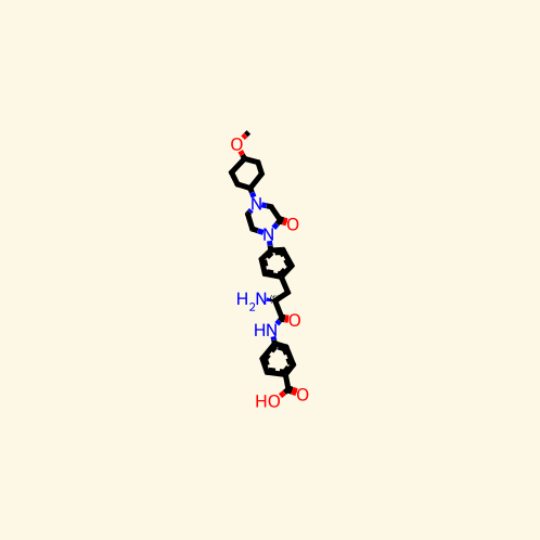 COC1CCC(N2CCN(c3ccc(C[C@H](N)C(=O)Nc4ccc(C(=O)O)cc4)cc3)C(=O)C2)CC1